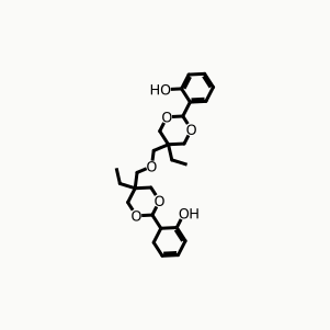 CCC1(COCC2(CC)COC(C3CC=CC=C3O)OC2)COC(c2ccccc2O)OC1